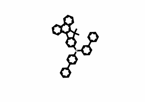 CC1(C)c2cc(N(c3ccc(-c4ccccc4)cc3)c3cccc(-c4ccccc4)c3)ccc2-c2c1c1ccccc1c1ccccc21